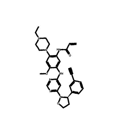 C#Cc1cccc([C@H]2CCON2c2cc(Nc3cc(NC(=O)C=C)c(N4CCN(CC)CC4)cc3OC)ncn2)c1